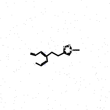 C=C/C=C(\C=C/C)CCc1cn(C)nn1